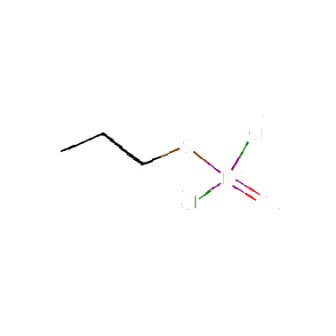 CCCSP(=O)(Cl)Cl